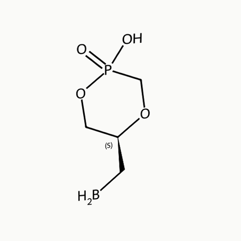 BC[C@H]1COP(=O)(O)CO1